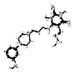 CON=Cc1c(NCCCN2CCN(c3cccc(OC)c3)CC2)n(C)c(=O)n(C)c1=O